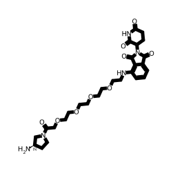 N[C@H]1CCN(C(=O)COCCOCCOCCOCCNc2cccc3c2C(=O)N(C2CCC(=O)NC2=O)C3=O)C1